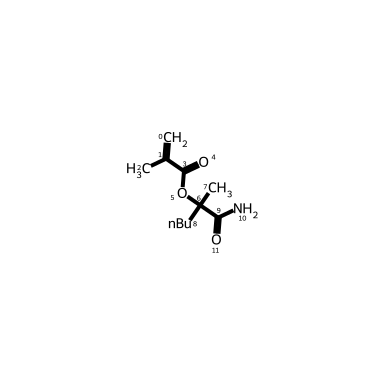 C=C(C)C(=O)OC(C)(CCCC)C(N)=O